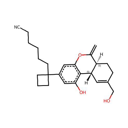 C=C1Oc2cc(C3(CCCCCC#N)CCC3)cc(O)c2[C@H]2C=C(CO)CC[C@H]12